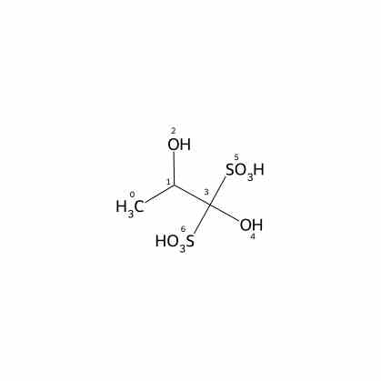 CC(O)C(O)(S(=O)(=O)O)S(=O)(=O)O